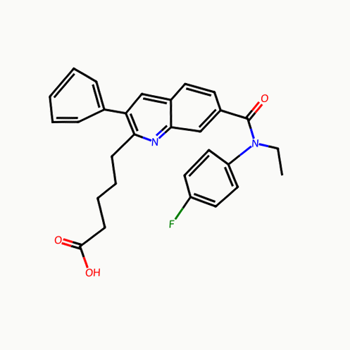 CCN(C(=O)c1ccc2cc(-c3ccccc3)c(CCCCC(=O)O)nc2c1)c1ccc(F)cc1